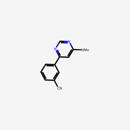 CNc1cc(-c2cccc(C#N)c2)ncn1